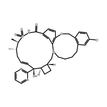 C[C@@H]1[C@@H](C)C/C=C/[C@@](O)(c2ncccn2)[C@@H]2CC[C@H]2CN2CCCCc3cc(Cl)ccc3COc3ccc(cc32)C(=O)NS1(=O)=O